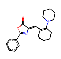 O=C1OC(c2ccccc2)=NC1=CC1=C(N2CCCCC2)CCCC1